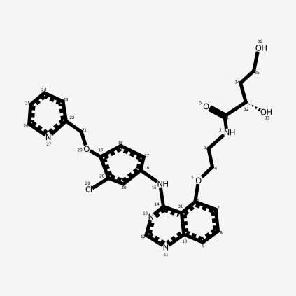 O=C(NCCOc1cccc2ncnc(Nc3ccc(OCc4ccccn4)c(Cl)c3)c12)[C@@H](O)CCO